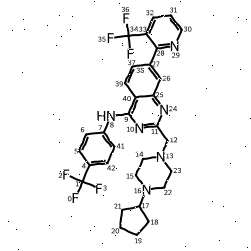 FC(F)(F)c1ccc(Nc2nc(CN3CCN(C4CCCC4)CC3)nc3cc(-c4ncccc4C(F)(F)F)ccc23)cc1